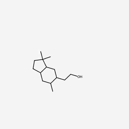 CC1CC2CCC(C)(C)C2CC1CCO